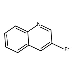 C[C](C)c1cnc2ccccc2c1